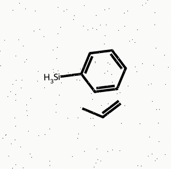 C=CC.[SiH3]c1ccccc1